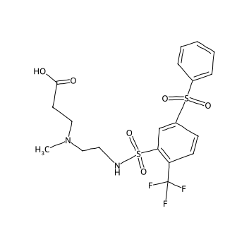 CN(CCNS(=O)(=O)c1cc(S(=O)(=O)c2ccccc2)ccc1C(F)(F)F)CCC(=O)O